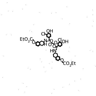 CCOC(=O)COc1ccc2c(c1)CC(NC[C@@H](OC(=O)C(=O)O[C@H](CNC1CCc3ccc(OCC(=O)OCC)cc3C1)c1ccc(O)c(Cl)c1)c1ccc(O)c(Cl)c1)CC2